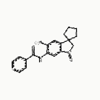 O=C(Nc1cc2c(cc1[N+](=O)[O-])C1(CCCC1)C[N+]2=O)c1ccncc1